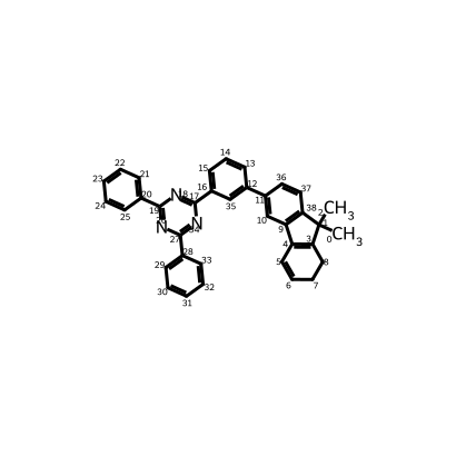 CC1(C)C2=C(C=CCC2)c2cc(-c3cccc(-c4nc(-c5ccccc5)nc(-c5ccccc5)n4)c3)ccc21